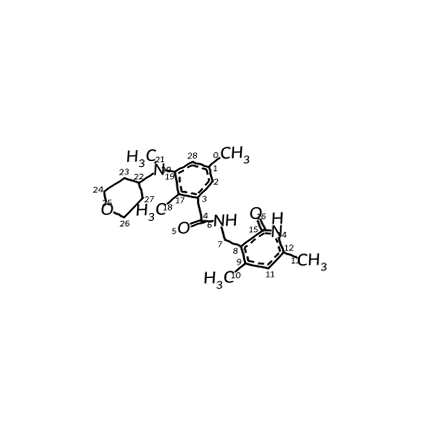 Cc1cc(C(=O)NCc2c(C)cc(C)[nH]c2=O)c(C)c(N(C)C2CCOCC2)c1